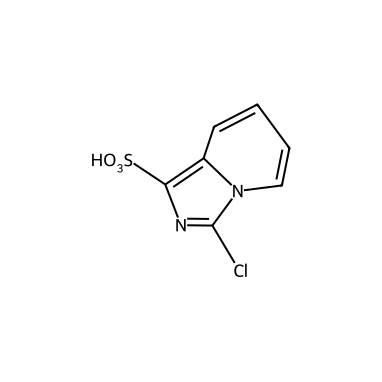 O=S(=O)(O)c1nc(Cl)n2ccccc12